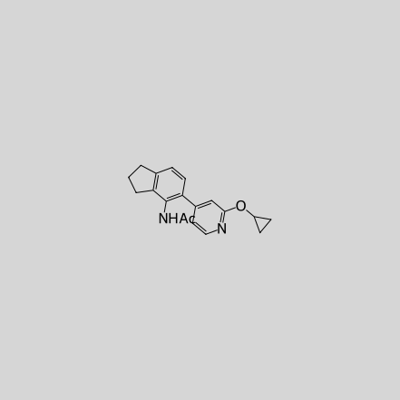 CC(=O)Nc1c(-c2ccnc(OC3CC3)c2)ccc2c1CCC2